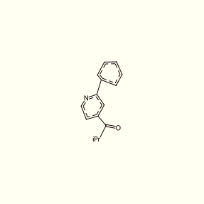 CC(C)C(=O)c1ccnc(-c2ccccc2)c1